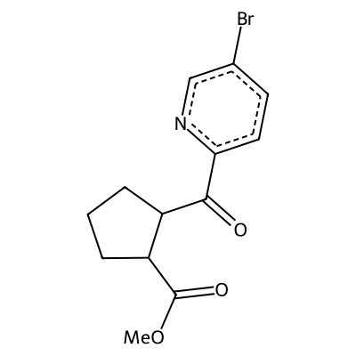 COC(=O)C1CCCC1C(=O)c1ccc(Br)cn1